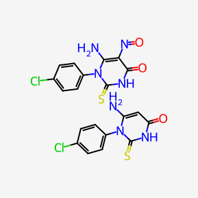 Nc1c(N=O)c(=O)[nH]c(=S)n1-c1ccc(Cl)cc1.Nc1cc(=O)[nH]c(=S)n1-c1ccc(Cl)cc1